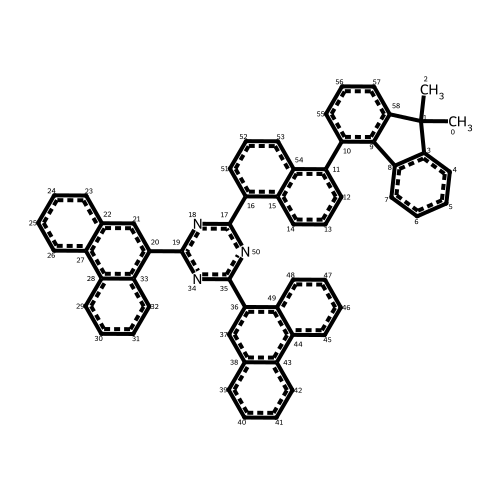 CC1(C)c2ccccc2-c2c(-c3cccc4c(-c5nc(-c6cc7ccccc7c7ccccc67)nc(-c6cc7ccccc7c7ccccc67)n5)cccc34)cccc21